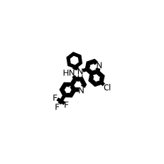 FC(F)(F)c1ccc2c(NC3(Nc4ccnc5cc(Cl)ccc45)CCCCC3)ccnc2c1